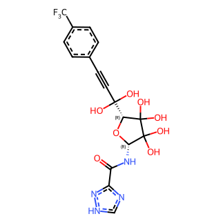 O=C(N[C@@H]1O[C@H](C(O)(O)C#Cc2ccc(C(F)(F)F)cc2)C(O)(O)C1(O)O)c1nc[nH]n1